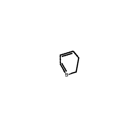 B1=CC=CCC1